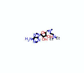 CCN(CC)CCN(C)C[C@H]1O[C@@H](n2cnc3c(N)ncnc32)[C@H](O)[C@@H]1O